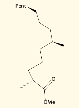 CCC[C@H](C)CCC[C@@H](C)CCC[C@@H](C)C(=O)OC